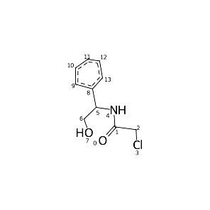 O=C(CCl)NC(CO)c1ccccc1